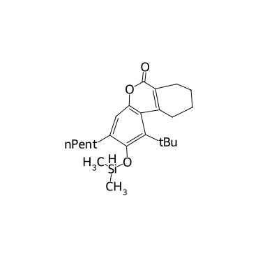 CCCCCc1cc2oc(=O)c3c(c2c(C(C)(C)C)c1O[SiH](C)C)CCCC3